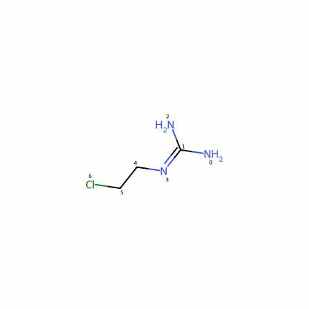 NC(N)=NCCCl